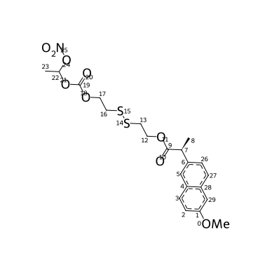 COc1ccc2cc([C@H](C)C(=O)OCCSSCCOC(=O)OC(C)O[N+](=O)[O-])ccc2c1